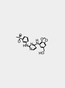 CS(=O)(=O)c1cccc(Nc2nccc(Nc3cc(CO)cc4c3OCO4)n2)c1